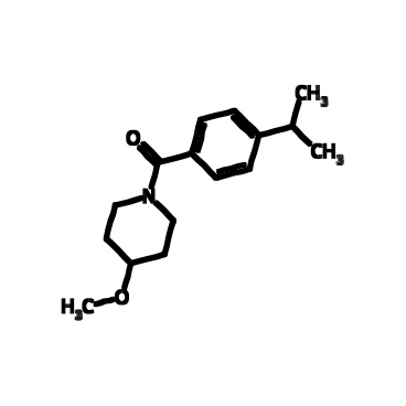 COC1CCN(C(=O)c2ccc(C(C)C)cc2)CC1